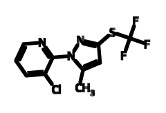 Cc1cc(SC(F)(F)F)nn1-c1ncccc1Cl